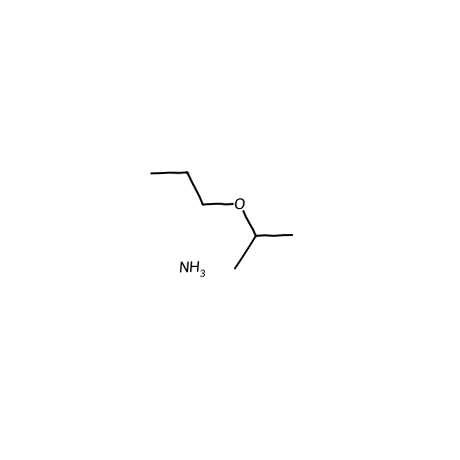 CCCOC(C)C.N